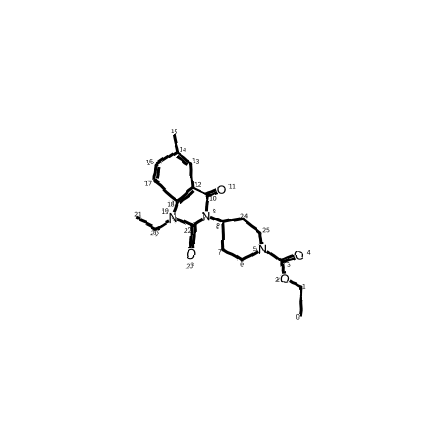 CCOC(=O)N1CCC(n2c(=O)c3cc(C)ccc3n(CC)c2=O)CC1